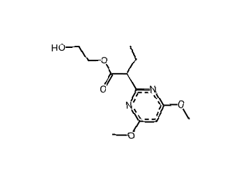 CCC(C(=O)OCCO)c1nc(OC)cc(OC)n1